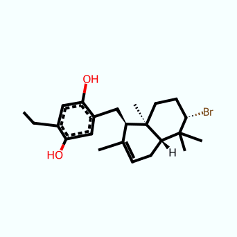 CCc1cc(O)c(C[C@@H]2C(C)=CC[C@H]3C(C)(C)[C@@H](Br)CC[C@]23C)cc1O